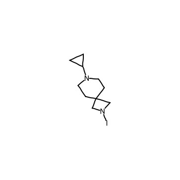 IN1CC2(CCN(C3CC3)CC2)C1